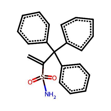 C=C(C(c1ccccc1)(c1ccccc1)c1ccccc1)S(N)(=O)=O